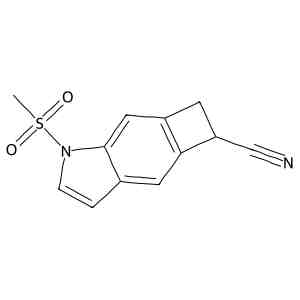 CS(=O)(=O)n1ccc2cc3c(cc21)CC3C#N